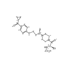 CC[C@@H](NC(=O)O)C(=O)N1CCN([C@H](C)CCOc2ccc(C(=O)C3CC3)cc2)CC1